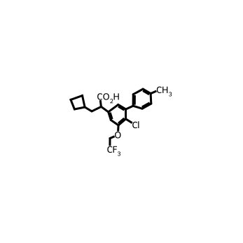 Cc1ccc(-c2cc(C(CC3CCC3)C(=O)O)cc(OCC(F)(F)F)c2Cl)cc1